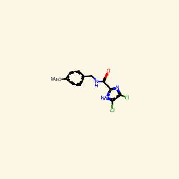 COc1ccc(CNC(=O)c2nc(Cl)c(Cl)[nH]2)cc1